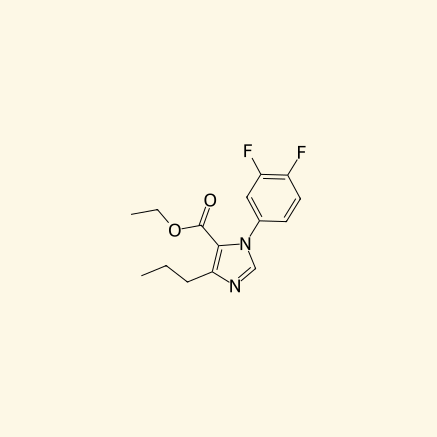 CCCc1ncn(-c2ccc(F)c(F)c2)c1C(=O)OCC